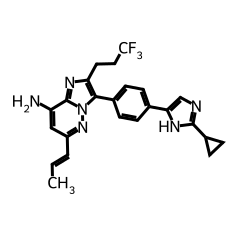 CC=Cc1cc(N)c2nc(CCC(F)(F)F)c(-c3ccc(-c4cnc(C5CC5)[nH]4)cc3)n2n1